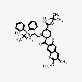 COc1nc2cc(C(=O)N3CCN(C(=O)OC(C)(C)C)C[C@@H]3CCO[Si](c3ccccc3)(c3ccccc3)C(C)(C)C)c(F)cc2cc1C